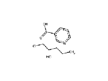 CCCCCCl.Cl.O=C(O)c1cccnc1